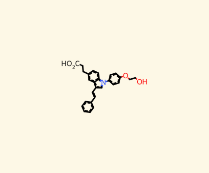 O=C(O)CCc1ccc2c(c1)c(C=Cc1ccccc1)cn2-c1ccc(OCCO)cc1